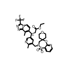 CCOC(=O)C[C@@H](c1cnc(C)c(CN2CC3(CCOCC3)Oc3ncccc3S2(=O)=O)c1)c1ccn2c(C(F)(F)F)nnc2c1C